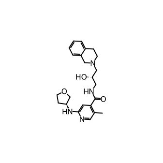 Cc1cnc(N[C@H]2CCOC2)cc1C(=O)NC[C@H](O)CN1CCc2ccccc2C1